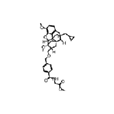 COC(=O)CNC(=O)c1ccc(COC[C@H]2C[C@@]34CC[C@]2(OC)[C@@H]2Oc5c(OC)ccc6c5[C@@]23CCN(CC2CC2)[C@@H]4C6)cc1